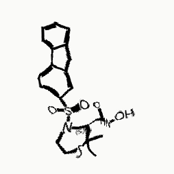 CC1(C)SCCN(S(=O)(=O)c2ccc3c(c2)Cc2ccccc2-3)[C@H]1C(=O)NO